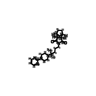 [2H]C([2H])(CCCN1C(=O)[C@@H]2[C@@H]3CC[C@@H](C3)[C@@H]2C1=O)N1CCN(c2ncccn2)CC1